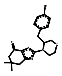 CC1(C)CC(=O)c2sc(N3CCOCC3Cc3ccc(Br)cc3)nc2C1